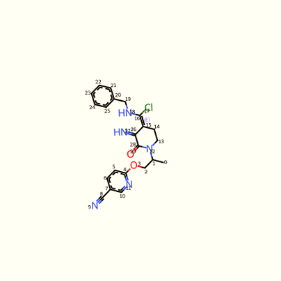 CC(COc1ccc(C#N)cn1)N1CC/C(=C(\Cl)NCc2ccccc2)C(=N)C1=O